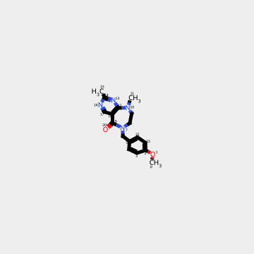 COc1ccc(CN2CCN(C)c3nc(C)ncc3C2=O)cc1